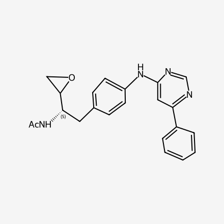 CC(=O)N[C@@H](Cc1ccc(Nc2cc(-c3ccccc3)ncn2)cc1)C1CO1